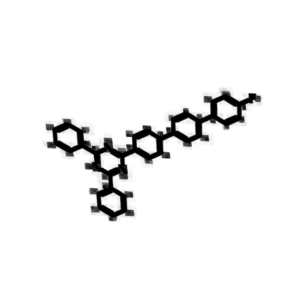 Fc1ccc(-c2ccc(-c3ccc(-c4nc(-c5ccccc5)nc(-c5ccccc5)n4)cc3)cc2)cc1